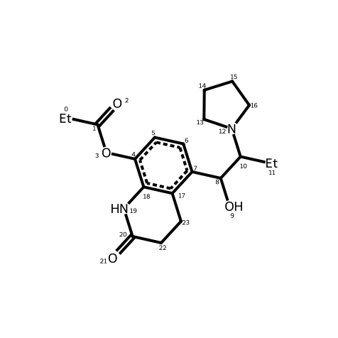 CCC(=O)Oc1ccc(C(O)C(CC)N2CCCC2)c2c1NC(=O)CC2